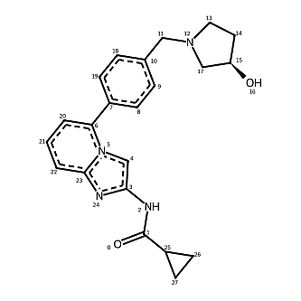 O=C(Nc1cn2c(-c3ccc(CN4CC[C@@H](O)C4)cc3)cccc2n1)C1CC1